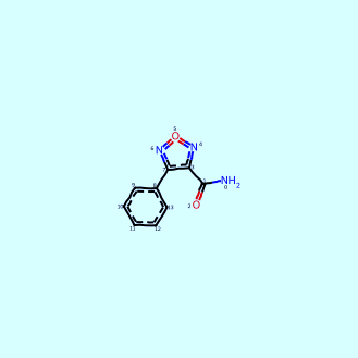 NC(=O)c1nonc1-c1ccccc1